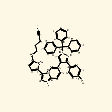 N#CCCCSc1ccc(-c2cnc3ccc(-c4cn(C(c5ccccc5)(c5ccccc5)C5C=CC=CC5)nc4-c4ccc(F)cc4)cn23)s1